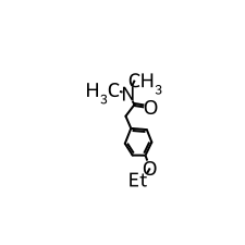 CCOc1ccc(CC(=O)N(C)C)cc1